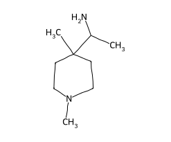 CC(N)C1(C)CCN(C)CC1